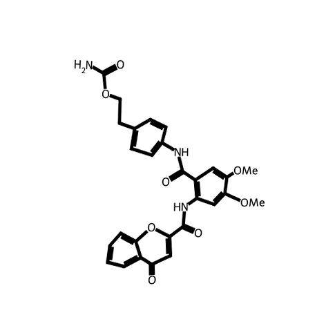 COc1cc(NC(=O)c2cc(=O)c3ccccc3o2)c(C(=O)Nc2ccc(CCOC(N)=O)cc2)cc1OC